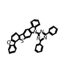 c1ccc(-c2nc(-c3ccccc3)nc(-n3c4ccccc4c4cc5c(cc43)sc3c5ccc4oc5ccccc5c43)n2)cc1